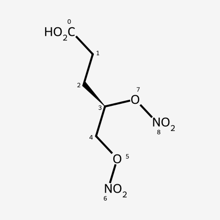 O=C(O)CC[C@H](CO[N+](=O)[O-])O[N+](=O)[O-]